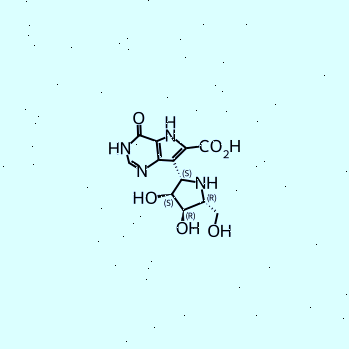 O=C(O)c1[nH]c2c(=O)[nH]cnc2c1[C@@H]1N[C@H](CO)[C@@H](O)[C@H]1O